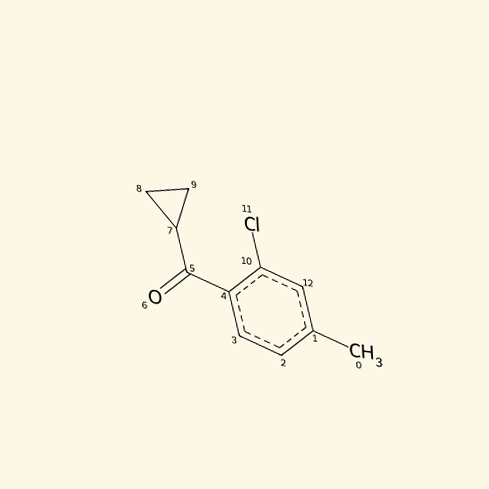 Cc1ccc(C(=O)C2CC2)c(Cl)c1